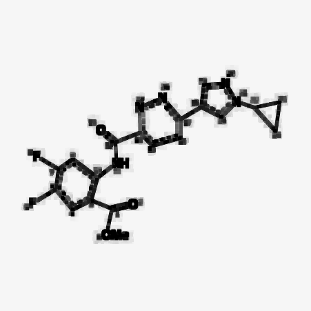 COC(=O)c1cc(F)c(F)cc1NC(=O)c1ccc(-c2cnn(C3CC3)c2)nn1